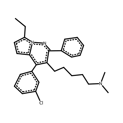 CCc1ccc2c(-c3cccc(Cl)c3)c(CCCCCN(C)C)c(-c3ccccc3)nn12